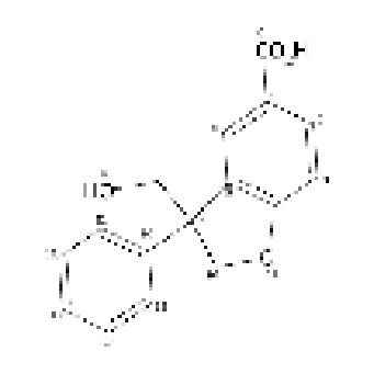 O=C(O)c1ccc2c(c1)C(CO)(c1ccccc1)CO2